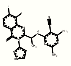 CC(Nc1nc(N)nc(N)c1C#N)c1nc2c(F)c(F)ccc2c(=O)n1-c1cc[nH]n1